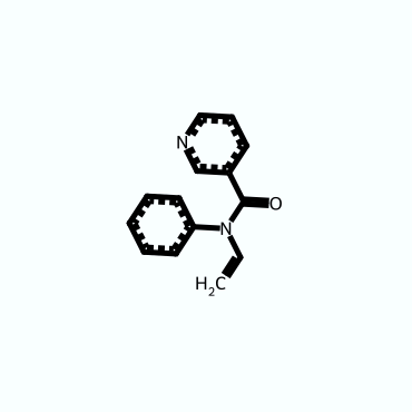 C=CN(C(=O)c1cccnc1)c1ccccc1